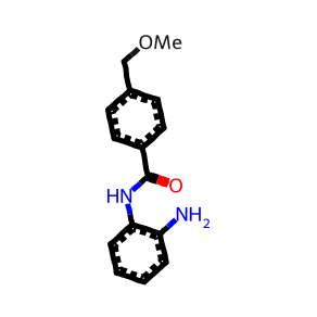 COCc1ccc(C(=O)Nc2ccccc2N)cc1